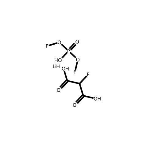 O=C(O)C(F)C(=O)O.O=P(O)(OF)OF.[LiH]